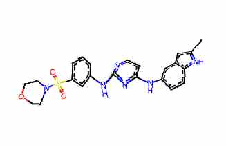 Cc1cc2cc(Nc3ccnc(Nc4cccc(S(=O)(=O)N5CCOCC5)c4)n3)ccc2[nH]1